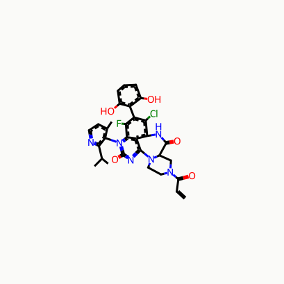 C=CC(=O)N1CCN2c3nc(=O)n(-c4c(C)ccnc4C(C)C)c4c(F)c(-c5c(O)cccc5O)c(Cl)c(c34)NC(=O)C2C1